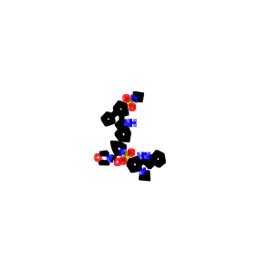 O=C([C@@H]1C2C[C@@]2(c2ccc3[nH]c(-c4cc(S(=O)(=O)N5CCC5)ccc4C4CCCC4)cc3c2)CN1S(=O)(=O)c1ccc(N2CCC2)c(-c2cc3ccccc3[nH]2)c1)N1CCOCC1